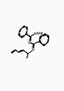 C=C/C=C/C(C)/N=C(\N=C(/NC)c1ccccc1)c1ccccc1